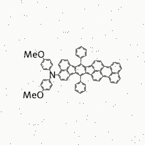 COc1ccc(N(c2ccc(OC)cc2)c2ccc3c4c(-c5ccccc5)c5c6ccc7c8cccc9cccc(c%10ccc(c5c(-c5ccccc5)c4c4cccc2c43)c6c%107)c98)cc1